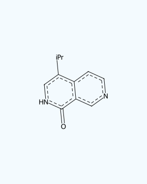 CC(C)c1c[nH]c(=O)c2cnccc12